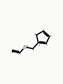 C=COCC1=CC=CC1